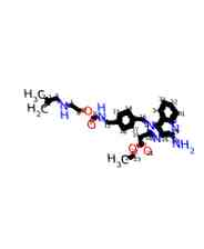 C=C(C)CNCCOC(=O)NCc1ccc(Cn2c(CC(=O)OCC)nc3c(N)nc4ccccc4c32)cc1